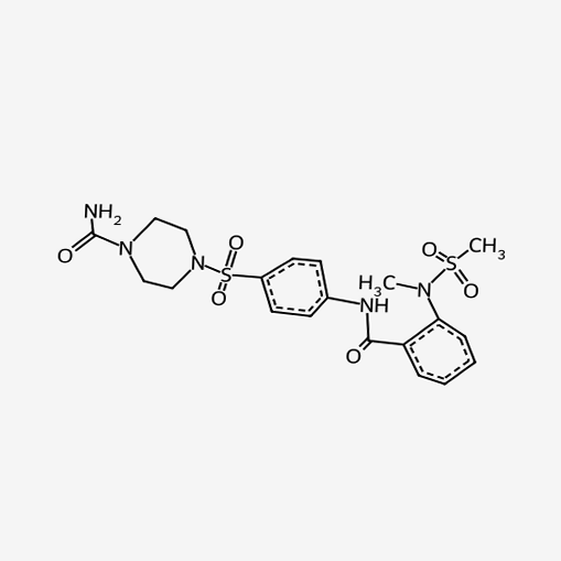 CN(c1ccccc1C(=O)Nc1ccc(S(=O)(=O)N2CCN(C(N)=O)CC2)cc1)S(C)(=O)=O